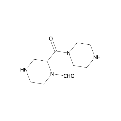 O=[C]N1CCNCC1C(=O)N1CCNCC1